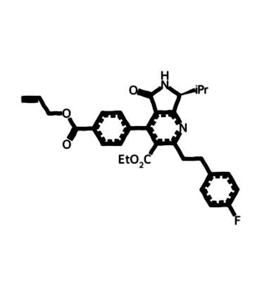 C=CCOC(=O)c1ccc(-c2c(C(=O)OCC)c(CCc3ccc(F)cc3)nc3c2C(=O)N[C@H]3C(C)C)cc1